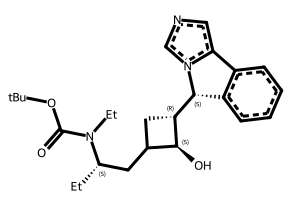 CC[C@@H](CC1C[C@H]([C@H]2c3ccccc3-c3cncn32)[C@H]1O)N(CC)C(=O)OC(C)(C)C